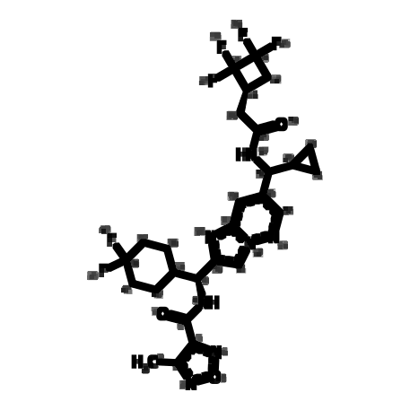 Cc1nonc1C(=O)N[C@H](c1cn2ncc(C(NC(=O)C[C@@H]3CC(F)(F)C3(F)F)C3CC3)cc2n1)C1CCC(F)(F)CC1